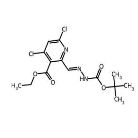 CCOC(=O)c1c(Cl)cc(Cl)nc1/C=N/NC(=O)OC(C)(C)C